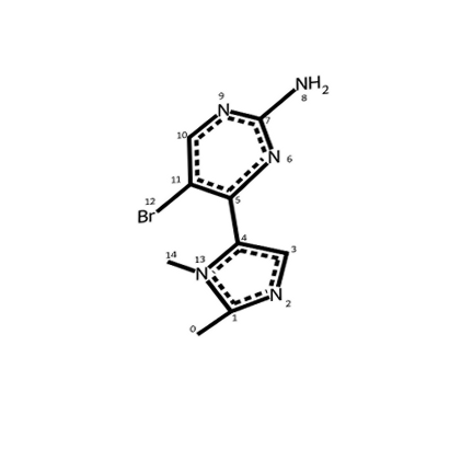 Cc1ncc(-c2nc(N)ncc2Br)n1C